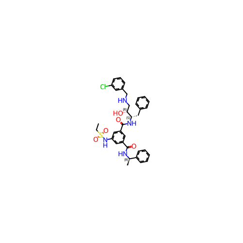 CCS(=O)(=O)Nc1cc(C(=O)N[C@@H](Cc2ccccc2)[C@H](O)CNCc2cccc(Cl)c2)cc(C(=O)N[C@H](C)c2ccccc2)c1